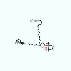 CCCCC/C=C\C/C=C\CCCCCCCCC1(CCCCCCCC/C=C\C/C=C\CCCCC)CCC2(CC1)O[C@H]1C[C@@H](C)[C@@H](C)C[C@H]1O2